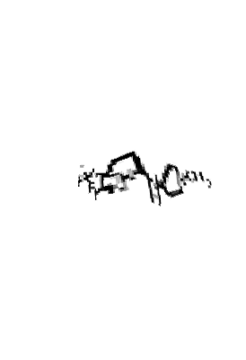 CN1CCC(Nc2cccc3c(SC(F)(F)F)c(I)nn23)CC1